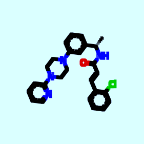 C[C@H](NC(=O)/C=C/c1ccccc1Cl)c1cccc(N2CCN(c3ccccn3)CC2)c1